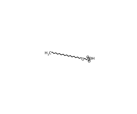 CCCCCCCCCCCCCCCCCCOCCS(=O)(=O)O